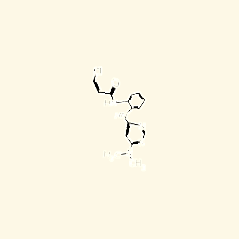 CN(C)c1cc(Nc2ccccc2NC(=O)/C=C\Cl)ncn1